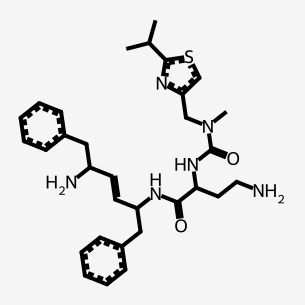 CC(C)c1nc(CN(C)C(=O)NC(CCN)C(=O)NC(/C=C/C(N)Cc2ccccc2)Cc2ccccc2)cs1